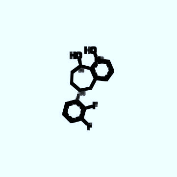 O[C@@H]1CC[C@@H](c2cccc(F)c2F)Cc2ccc[n+](O)c21